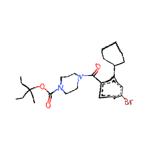 CC(C)(C)OC(=O)N1CCN(C(=O)c2ccc(Br)cc2C2CCCCC2)CC1